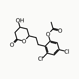 CC(=O)Oc1cc(Cl)cc(Cl)c1CCC1CC(O)CC(=O)O1